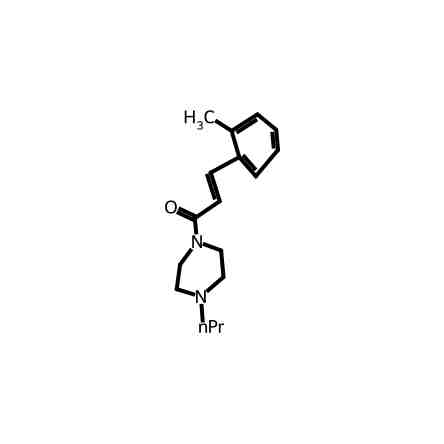 CCCN1CCN(C(=O)C=Cc2ccccc2C)CC1